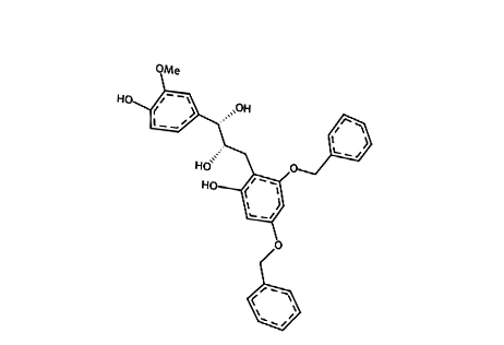 COc1cc([C@H](O)[C@@H](O)Cc2c(O)cc(OCc3ccccc3)cc2OCc2ccccc2)ccc1O